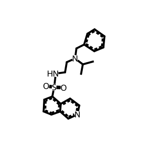 CC(C)N(CCNS(=O)(=O)c1cccc2cnccc12)Cc1ccccc1